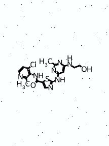 Cc1nc(NCCO)cc(Nc2ncc(C(=O)Nc3c(Cl)ccnc3C)s2)n1